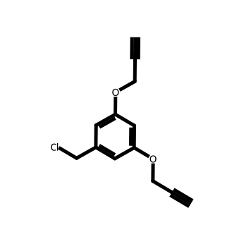 C#CCOc1cc(CCl)cc(OCC#C)c1